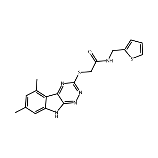 Cc1cc(C)c2c(c1)[nH]c1nnc(SCC(=O)NCc3cccs3)nc12